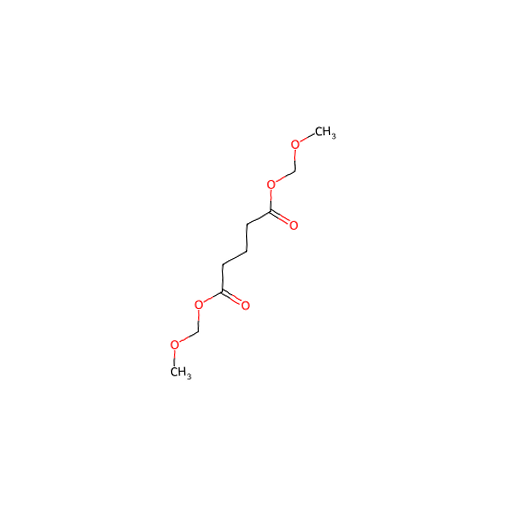 COCOC(=O)CCCC(=O)OCOC